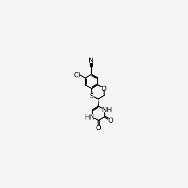 N#Cc1cc2c(cc1Cl)S[C@H](c1c[nH]c(=O)c(=O)[nH]1)CO2